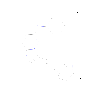 OC1CCC(Nc2ccc3ncc(/C=C/c4cccnc4)n3n2)CC1